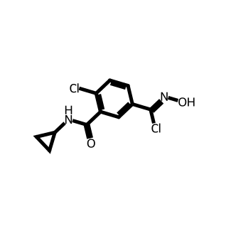 O=C(NC1CC1)c1cc(/C(Cl)=N/O)ccc1Cl